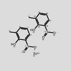 Cc1cccc(S(=O)[O-])c1O.Cc1cccc(S(=O)[O-])c1O.[Zn+2]